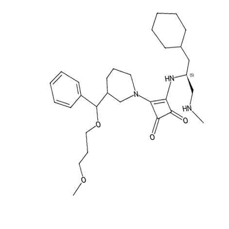 CNC[C@H](CC1CCCCC1)Nc1c(N2CCCC(C(OCCCOC)c3ccccc3)C2)c(=O)c1=O